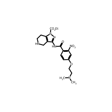 CCOC(=O)n1nc(NC(=O)c2ccc(OCCN(C)C)cc2[N+](=O)[O-])c2c1CCNC2